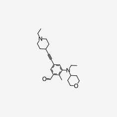 CCN1CCC(C#Cc2cc(C=O)c(C)c(N(CC)C3CCOCC3)c2)CC1